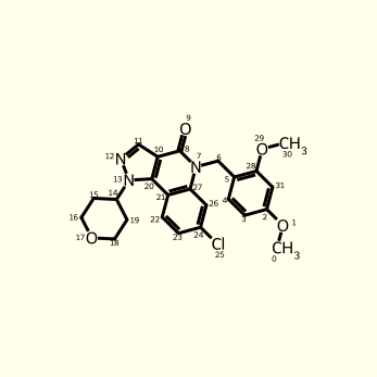 COc1ccc(Cn2c(=O)c3cnn(C4CCOCC4)c3c3ccc(Cl)cc32)c(OC)c1